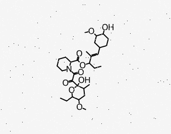 CCC(OC(=O)C1CCCCN1C(=O)C(=O)C1(O)OC(CC)C(OC)CC1C)/C(C)=C/C1CCC(O)C(OC)C1